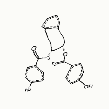 O=C(O[C@H]1Cc2ccccc2C[C@H]1OC(=O)c1ccc(O)cc1)c1ccc(O)cc1